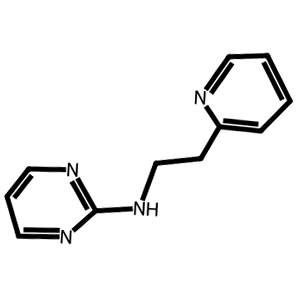 c1ccc(CCNc2ncccn2)nc1